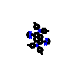 Cc1ccc(N(c2ccc(C)cc2)c2cc(-c3ncccn3)c3ccc4c(N(c5ccc(C)cc5)c5ccc(C)cc5)cc(-c5ncccn5)c5ccc2c3c54)cc1